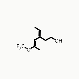 C/C=C(\C=C(/C)OC(F)(F)F)CCO